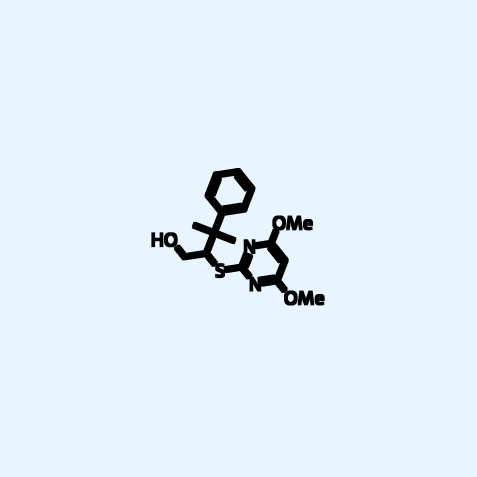 COc1cc(OC)nc(SC(CO)C(C)(C)c2ccccc2)n1